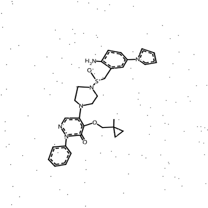 CC1(COc2c(N3CCN([S+]([O-])Cc4cc(-n5cccc5)ccc4N)CC3)cnn(-c3ccccc3)c2=O)CC1